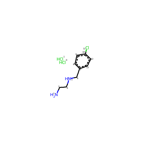 Cl.Cl.NCCNCc1ccc(Cl)cc1